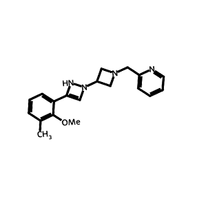 COc1c(C)cccc1-c1cn(C2CN(Cc3ccccn3)C2)[nH]1